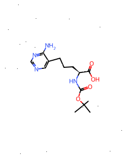 CC(C)(C)OC(=O)N[C@@H](CCCc1cncnc1N)C(=O)O